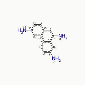 Nc1ccc2c(c1)c(N)cc1ccc(N)cc12